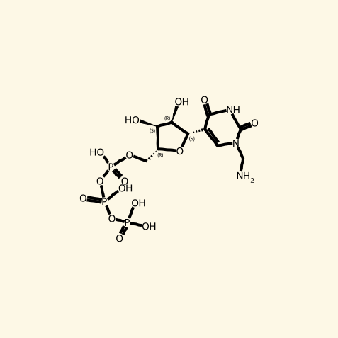 NCn1cc([C@@H]2O[C@H](COP(=O)(O)OP(=O)(O)OP(=O)(O)O)[C@@H](O)[C@H]2O)c(=O)[nH]c1=O